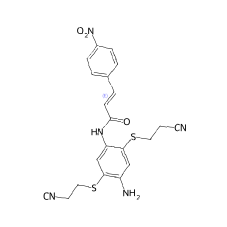 [C-]#[N+]CCSc1cc(NC(=O)/C=C/c2ccc([N+](=O)[O-])cc2)c(SCCC#N)cc1N